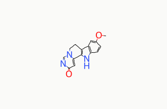 COc1ccc2[nH]c3c(c2c1)CCn1cnc(=O)cc1-3